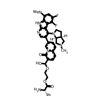 CNc1cc(F)c(F)c2c1[nH]c1ncc(-c3ccc4ccc(C(O)OCCOC(=O)[C@@H](N)C(C)C)c(=O)n4c3)c(N3CC[C@H]4CN(C)C[C@H]43)c12